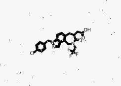 O=C(O)CC1Cc2ccc3c(cnn3Cc3ccc(Cl)cc3)c2CN(CC(F)(F)F)C1=O